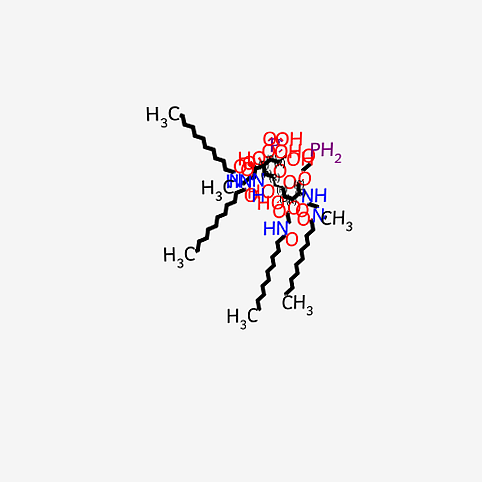 CCCCCCCCCCCC(=O)NCC(=O)O[C@H]1[C@H](O)[C@@H](C(O)[C@@H]2O[C@H](CO)[C@@H](OP(=O)(O)O)[C@@](O)(C(=O)CNC(=O)CCCCCCCCCCC)[C@@H]2NC(=O)CN(C)C(=O)CCCCCCCCCCC)O[C@H](OCCOP)[C@H]1NC(=O)CN(C)C(=O)CCCCCCCCCCC